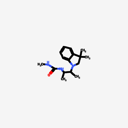 CNC(=O)NC(C)C(C)N1CC(C)(C)c2ccccc21